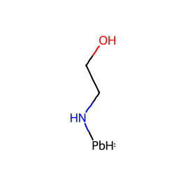 OCC[NH][PbH]